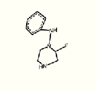 FC1CNCCN1Nc1ccccc1